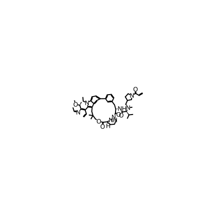 C=CC(=O)N1CCC(CN(C)[C@H](C(=O)N[C@H]2Cc3cccc(c3)-c3ccc4c(c3)c(c(/C(C=C)=C(/N=C\C)[C@H](C)OC)n4CC)CC(C)(C)COC(=O)[C@@H]3CCCN(N3)C2=O)C(C)C)C1